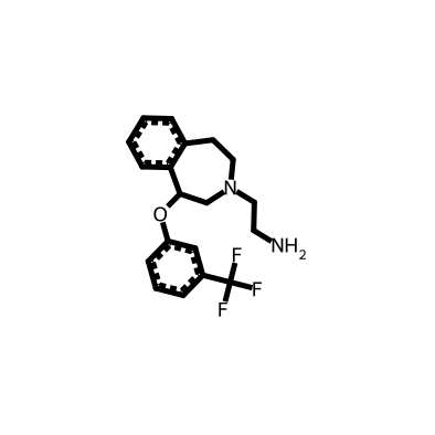 NCCN1CCc2ccccc2C(Oc2cccc(C(F)(F)F)c2)C1